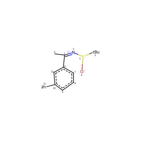 C/C(=N/[S+]([O-])C(C)(C)C)c1cccc(C(C)C)c1